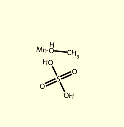 CO.O=S(=O)(O)O.[Mn]